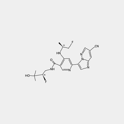 C[C@@H](CF)Nc1cc(-c2cnc3cc(C#N)cnn23)ncc1C(=O)NC[C@@H](F)C(C)(C)O